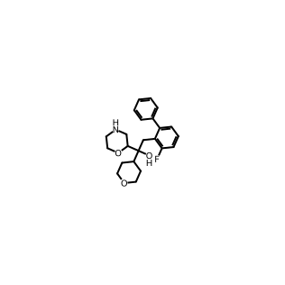 OC(Cc1c(F)cccc1-c1ccccc1)(C1CCOCC1)C1CNCCO1